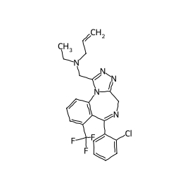 C=CCN(CC)Cc1nnc2n1-c1cccc(C(F)(F)F)c1C(c1ccccc1Cl)=NC2